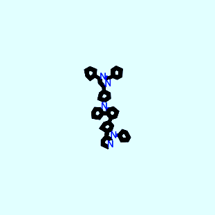 c1ccc(-c2cc(-c3ccc(-n4c5ccccc5c5c(-c6ccc7c8cccnc8n(-c8ccccc8)c7c6)cccc54)cc3)nc(-c3ccccc3)n2)cc1